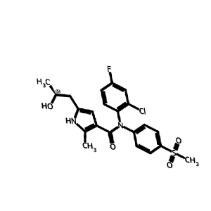 Cc1[nH]c(C[C@H](C)O)cc1C(=O)N(c1ccc(S(C)(=O)=O)cc1)c1ccc(F)cc1Cl